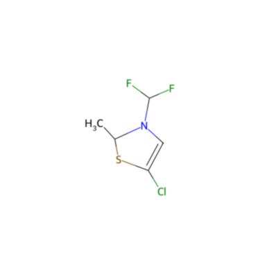 CC1SC(Cl)=CN1C(F)F